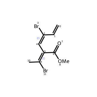 C=C/C(Br)=C\C(C(=O)OC)=C(/C)Br